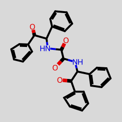 O=C(NC(C(=O)c1ccccc1)c1ccccc1)C(=O)NC(C(=O)c1ccccc1)c1ccccc1